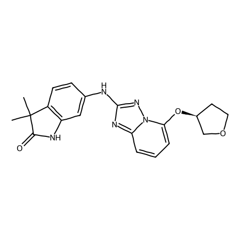 CC1(C)C(=O)Nc2cc(Nc3nc4cccc(O[C@H]5CCOC5)n4n3)ccc21